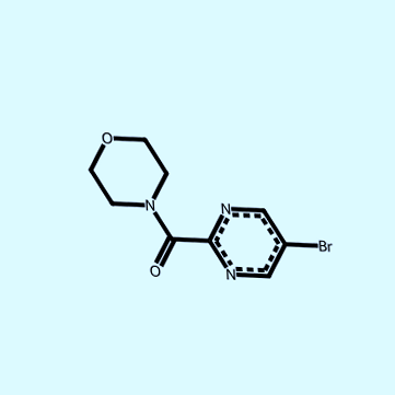 O=C(c1ncc(Br)cn1)N1CCOCC1